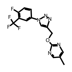 Cc1cnc(OCc2cn(-c3ccc(F)c(C(F)(F)F)c3)nn2)nc1